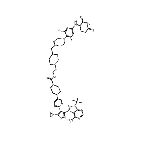 CC(C)(C)n1nc(-c2noc(C3CC3)c2-c2ncc(C3CCN(C(=O)OCCN4CCC(CN5CCN(c6c(F)cc(NC7CCC(=O)NC7=O)cc6F)CC5)CC4)CC3)cn2)c2c(N)ncnc21